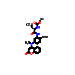 COc1ccc(N(C)c2cc(=O)oc3ccccc23)cc1NC(=O)[C@H](CC(=O)O)NC(=O)OC(C)(C)C